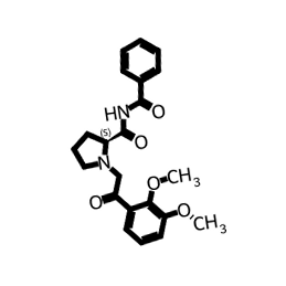 COc1cccc(C(=O)CN2CCC[C@H]2C(=O)NC(=O)c2ccccc2)c1OC